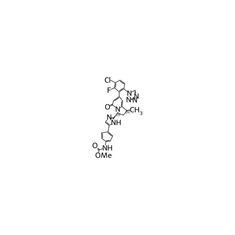 COC(=O)Nc1ccc(-c2cnc([C@@H]3C[C@H](C)c4cc(-c5c(-n6cnnn6)ccc(Cl)c5F)cc(=O)n43)[nH]2)cc1